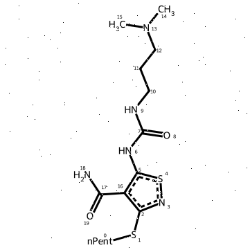 CCCCCSc1nsc(NC(=O)NCCCN(C)C)c1C(N)=O